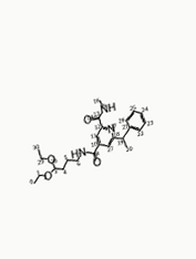 CCOC(CCCNC(=O)c1cc(C(=O)NC)nc(C(C)c2ccccc2)c1)OCC